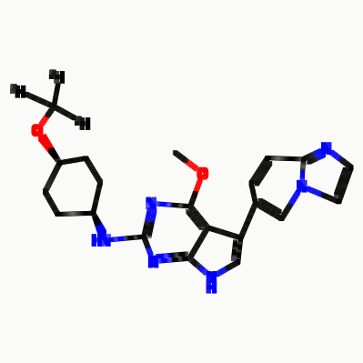 [2H]C([2H])([2H])O[C@H]1CC[C@@H](Nc2nc(OC)c3c(-c4ccc5nccn5c4)c[nH]c3n2)CC1